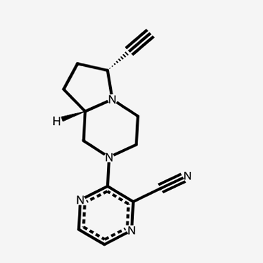 C#C[C@H]1CC[C@H]2CN(c3nccnc3C#N)CCN21